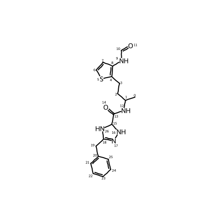 CC(CCc1sccc1NC=O)NC(=O)C1NN=C(Cc2ccccc2)N1